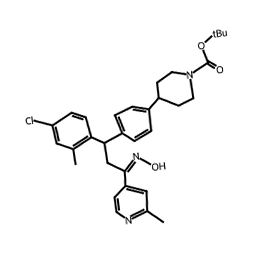 Cc1cc(C(CC(c2ccc(C3CCN(C(=O)OC(C)(C)C)CC3)cc2)c2ccc(Cl)cc2C)=NO)ccn1